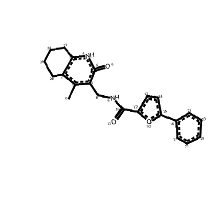 Cc1c2c([nH]c(=O)c1CNC(=O)c1ccc(-c3ccccc3)o1)CCCC2